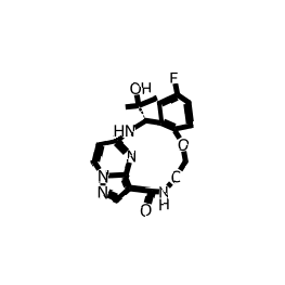 CC(C)(O)[C@H]1Nc2ccn3ncc(c3n2)C(=O)NCCOc2ccc(F)cc21